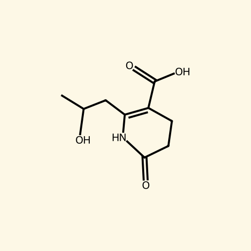 CC(O)CC1=C(C(=O)O)CCC(=O)N1